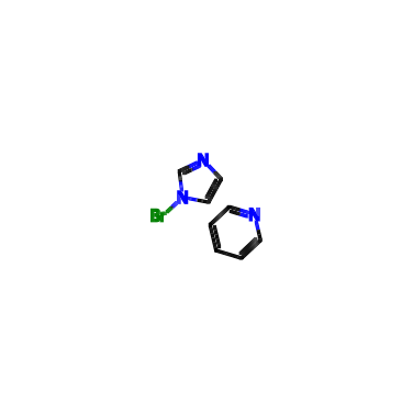 Brn1ccnc1.c1ccncc1